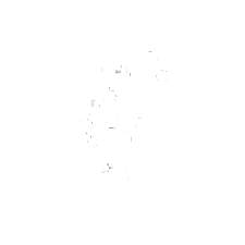 CC(C)[C@@H](NC(=O)OCC1c2ccccc2-c2ccccc21)C(=O)O[C@H](/C=C/CCSC(c1ccccc1)(c1ccccc1)c1ccccc1)CC(=O)NCc1cccc(-c2cccc(C(=O)OCC[Si](C)(C)C)n2)n1